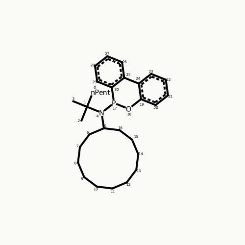 CCCCCC(C)(C)N(C1CCCCCCCCCCC1)P1Oc2ccccc2-c2ccccc21